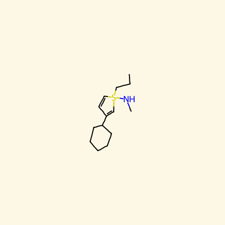 CCCS1(NC)C=CC(C2CCCCC2)=C1